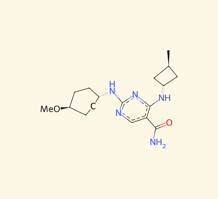 CO[C@H]1CC[C@H](Nc2ncc(C(N)=O)c(N[C@H]3C[C@H](C)C3)n2)CC1